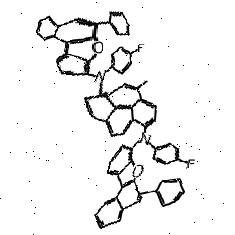 Cc1cc2c(N(c3ccc(F)cc3)c3cccc4c3oc3c(-c5ccccc5)cc5ccccc5c34)ccc3ccc4c(N(c5ccc(F)cc5)c5cccc6c5oc5c(-c7ccccc7)cc7ccccc7c56)ccc1c4c32